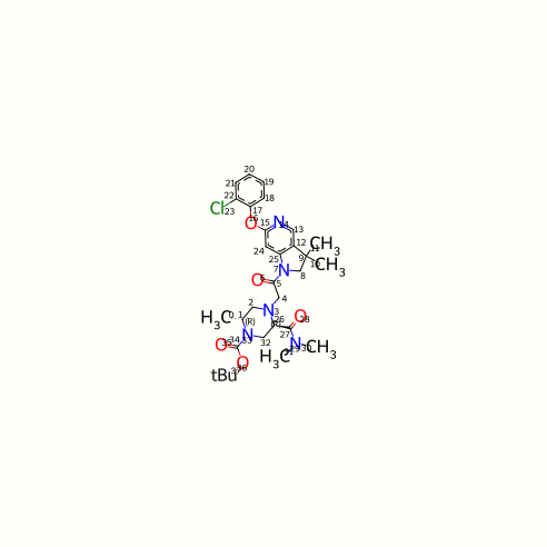 C[C@@H]1CN(CC(=O)N2CC(C)(C)c3cnc(Oc4ccccc4Cl)cc32)[C@@H](C(=O)N(C)C)CN1C(=O)OC(C)(C)C